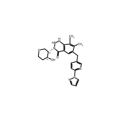 Cc1c(Cc2ccc(-n3cccn3)nc2)cc2c(c1C)NNN([C@H]1COCC[C@@H]1O)C2=O